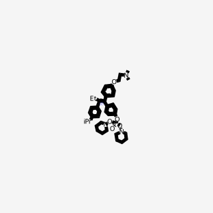 CC/C(=C(\c1ccc(OCCN(C)C)cc1)c1ccc(OP(=O)(ON2CCCCC2)ON2CCCCC2)cc1)c1ccc(C(C)C)cc1